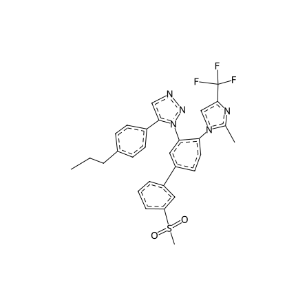 CCCc1ccc(-c2cnnn2-c2cc(-c3cccc(S(C)(=O)=O)c3)ccc2-n2cc(C(F)(F)F)nc2C)cc1